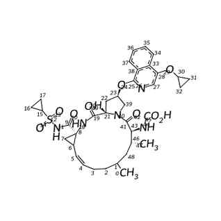 CC1CC/C=C\C2C[C@@]2(C(=O)NS(=O)(=O)C2CC2)NC(=O)[C@@H]2C[C@@H](Oc3ncc(OC4CC4)c4ccccc34)CN2C(=O)[C@@H](NC(=O)O)[C@H](C)C1